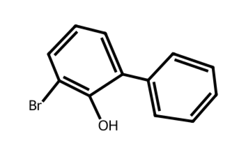 Oc1c(Br)cccc1-c1ccccc1